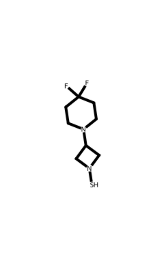 FC1(F)CCN(C2CN(S)C2)CC1